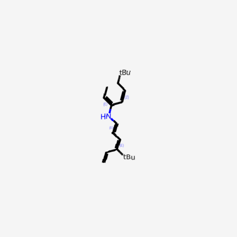 C=C/C(=C\C=C\NC(/C=C\CC(C)(C)C)=C/C)C(C)(C)C